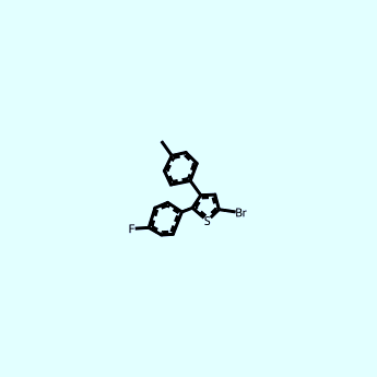 Cc1ccc(-c2cc(Br)sc2-c2ccc(F)cc2)cc1